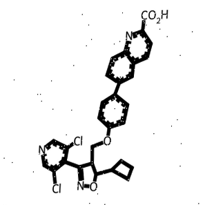 O=C(O)c1ccc2cc(-c3ccc(OCC4C(c5c(Cl)cncc5Cl)=NOC4C4CCC4)cc3)ccc2n1